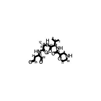 CC(C)[C@H](NC(=O)C1CNCCO1)C(=O)N[C@@H](C)C(=O)NC([C]=O)C[C]=O